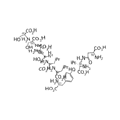 CC(C)C[C@H](N)C(=O)O.CC(C)C[C@H](N)C(=O)O.CC(C)[C@H](N)C(=O)O.CC[C@H](C)[C@H](N)C(=O)O.NC(=O)C[C@H](N)C(=O)O.NCC(=O)O.N[C@@H](CO)C(=O)O.N[C@@H](CO)C(=O)O.N[C@@H](Cc1ccc(O)cc1)C(=O)O